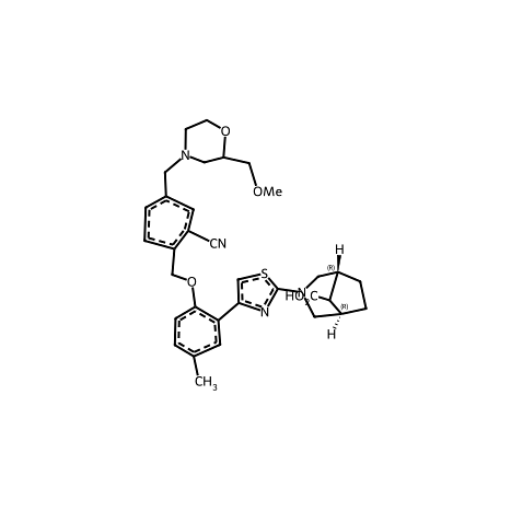 COCC1CN(Cc2ccc(COc3ccc(C)cc3-c3csc(N4C[C@@H]5CC[C@@H](C4)C5C(=O)O)n3)c(C#N)c2)CCO1